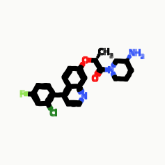 C[C@@H](Oc1ccc2c(-c3ccc(F)cc3Cl)ccnc2c1)C(=O)N1CCC[C@H](N)C1